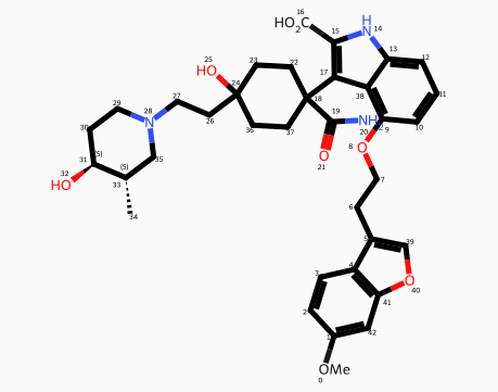 COc1ccc2c(CCOc3cccc4[nH]c(C(=O)O)c(C5(C(N)=O)CCC(O)(CCN6CC[C@H](O)[C@@H](C)C6)CC5)c34)coc2c1